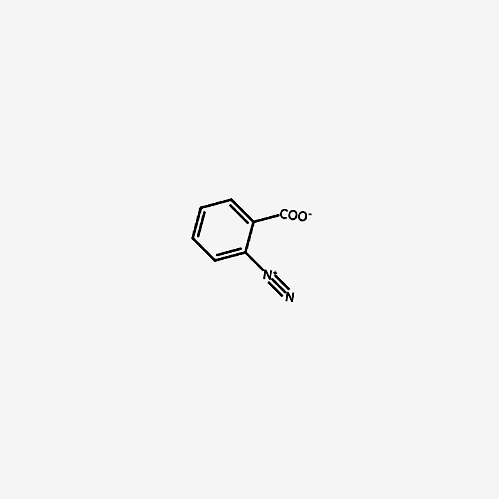 N#[N+]c1ccccc1C(=O)[O-]